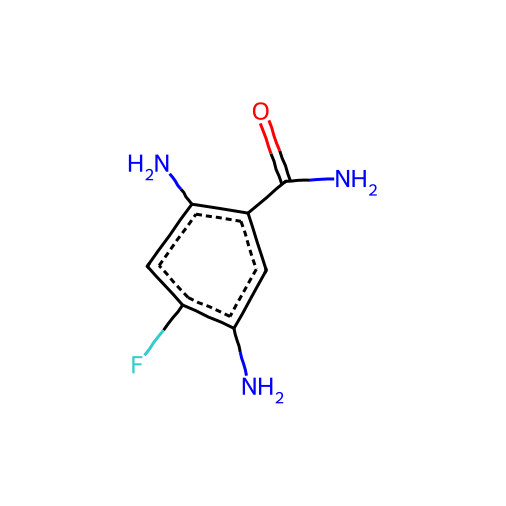 NC(=O)c1cc(N)c(F)cc1N